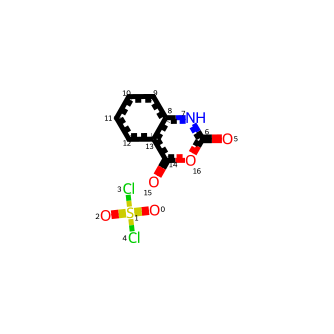 O=S(=O)(Cl)Cl.O=c1[nH]c2ccccc2c(=O)o1